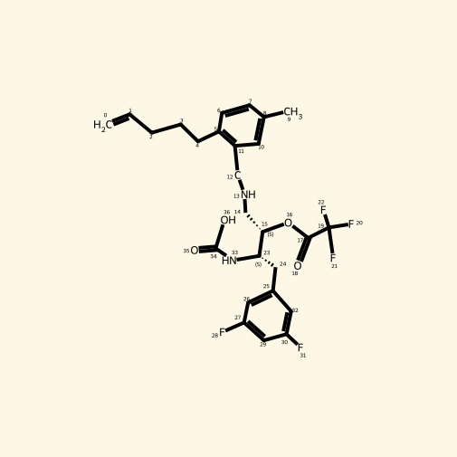 C=CCCCc1ccc(C)cc1CNC[C@H](OC(=O)C(F)(F)F)[C@H](Cc1cc(F)cc(F)c1)NC(=O)O